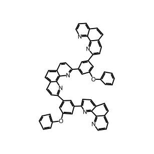 c1ccc(Oc2cc(-c3ccc4ccc5cccnc5c4n3)cc(-c3ccc4ccc5ccc(-c6cc(Oc7ccccc7)cc(-c7ccc8ccc9cccnc9c8n7)c6)nc5c4n3)c2)cc1